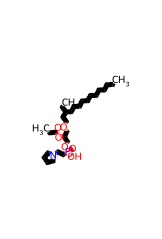 CCCCCCCCCCCCC(CC)CCOCC(COP(=O)(O)CCN1CCCC1)OC(=O)CC